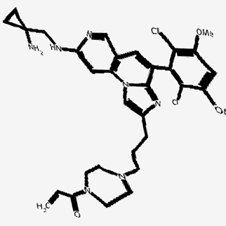 C=CC(=O)N1CCN(CCCc2cn3c(n2)c(-c2c(Cl)c(OC)cc(OC)c2Cl)cc2cnc(NCC4(N)CC4)cc23)CC1